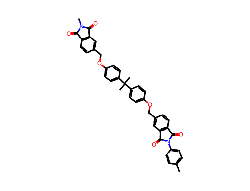 Cc1ccc(N2C(=O)c3ccc(COc4ccc(C(C)(C)c5ccc(OCc6ccc7c(c6)C(=O)N(C)C7=O)cc5)cc4)cc3C2=O)cc1